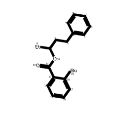 CCC(CCc1ccccc1)OC(=O)c1ccccc1C(C)CC